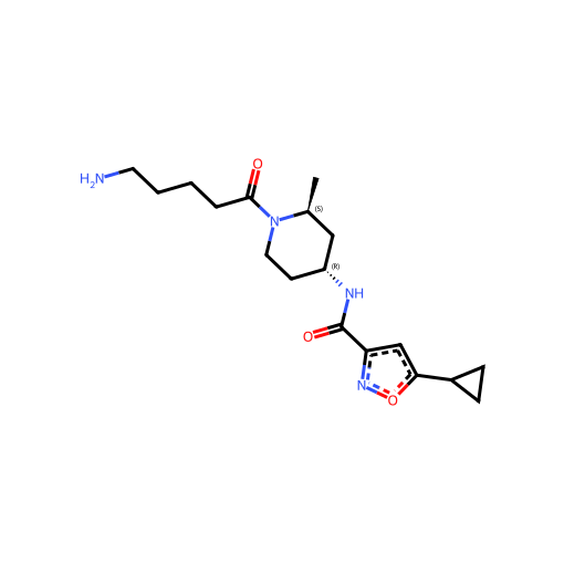 C[C@H]1C[C@H](NC(=O)c2cc(C3CC3)on2)CCN1C(=O)CCCCN